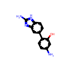 Nc1ccc(-c2ccc3[nH]c(N)nc3c2)c(O)c1